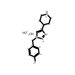 Cl.Cl.Fc1ccc(Cn2cc(C3CCNCC3)nn2)cc1